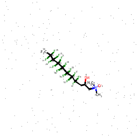 C[N+](C)([O-])CC(O)CC(F)(F)C(F)(F)C(F)(F)C(F)(F)C(F)(F)C(F)(F)C(F)(F)C(F)(F)F